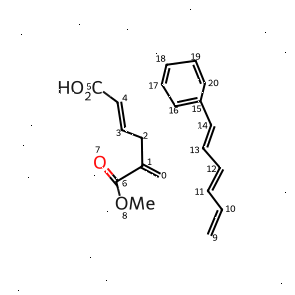 C=C(CC=CC(=O)O)C(=O)OC.C=CC=CC=Cc1ccccc1